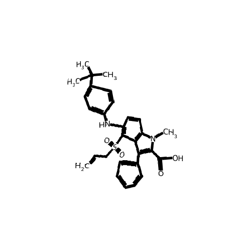 C=CCS(=O)(=O)c1c(Nc2ccc(C(C)(C)C)cc2)ccc2c1c(-c1ccccc1)c(C(=O)O)n2C